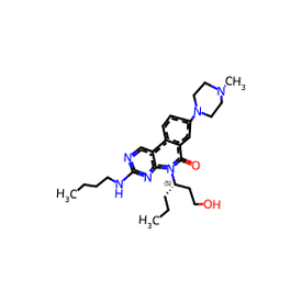 CCCCNc1ncc2c3ccc(N4CCN(C)CC4)cc3c(=O)n([C@@H](CCC)CCO)c2n1